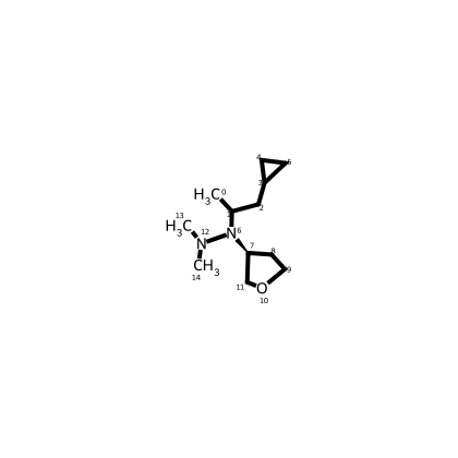 CC(CC1CC1)N([C@H]1CCOC1)N(C)C